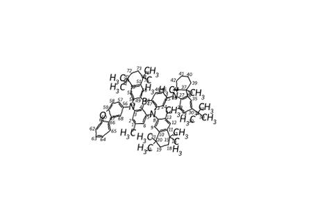 Cc1cc2c3c(c1)N(c1cc4c(cc1C)C(C)(C)CCC4(C)C)c1cc(N4c5ccc(C(C)(C)C)cc5C5(C)CCCCC45C)ccc1B3c1cc3c(cc1N2c1ccc2oc4ccccc4c2c1)C(C)(C)CCC3(C)C